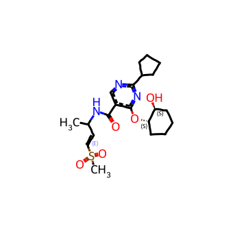 CC(/C=C/S(C)(=O)=O)NC(=O)c1cnc(C2CCCC2)nc1O[C@H]1CCCC[C@@H]1O